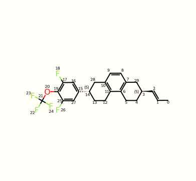 CC=C[C@H]1CCc2c(ccc3c2CC[C@H](c2cc(F)c(OC(F)(F)F)c(F)c2)C3)C1